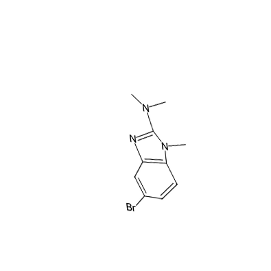 CN(C)c1nc2cc(Br)ccc2n1C